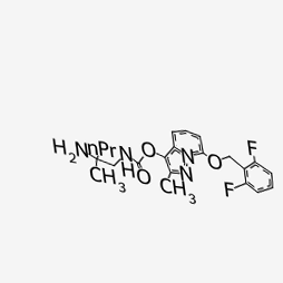 CCCC(C)(N)CNC(=O)Oc1c(C)nn2c(OCc3c(F)cccc3F)cccc12